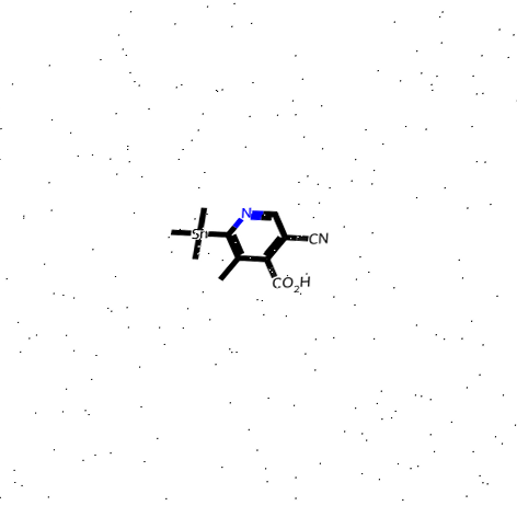 Cc1[c]([Sn]([CH3])([CH3])[CH3])ncc(C#N)c1C(=O)O